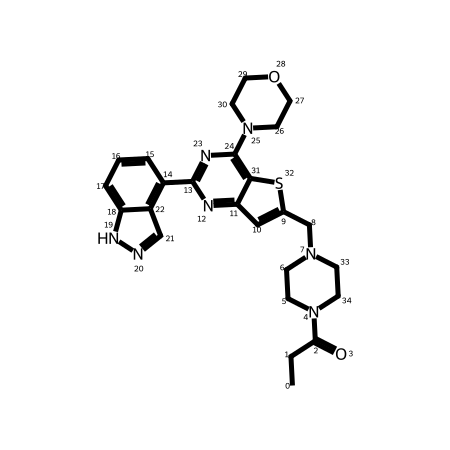 CCC(=O)N1CCN(Cc2cc3nc(-c4cccc5[nH]ncc45)nc(N4CCOCC4)c3s2)CC1